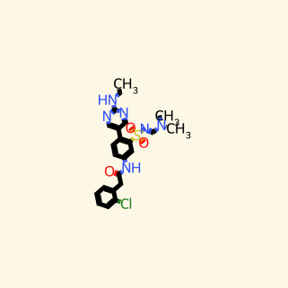 CCNc1ncc(-c2ccc(NC(=O)Cc3ccccc3Cl)cc2S(=O)(=O)/N=C/N(C)C)cn1